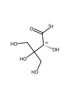 [2H]C(=O)[C@H](O)C(O)(CO)CO